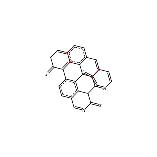 S=C1CC=CC=C1c1ccc2c(c1C1C(=S)C=Cc3ccccc31)C(C1=NC=CCC1=S)C(=S)N=[C]2